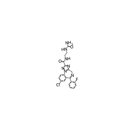 NC(=O)NCCNC(=O)c1nc2n(n1)-c1ccc(Cl)cc1C(c1ccccc1F)=NC2